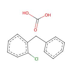 Clc1ccccc1Cc1ccccc1.O=C(O)O